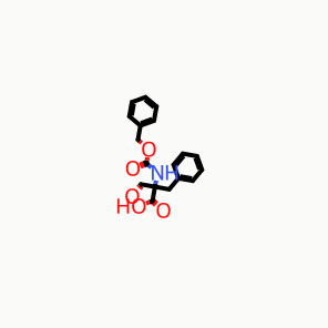 O=CC(Cc1ccccc1)(NC(=O)OCc1ccccc1)C(=O)O